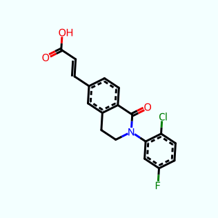 O=C(O)/C=C/c1ccc2c(c1)CCN(c1cc(F)ccc1Cl)C2=O